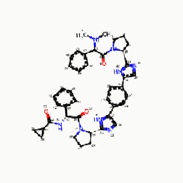 CN(C)[C@@H](C(=O)N1CCC[C@H]1c1ncc(-c2ccc(-c3cnc([C@@H]4CCCN4C(=O)[C@H](NC(=O)C4CC4)c4ccccc4)[nH]3)cc2)[nH]1)c1ccccc1